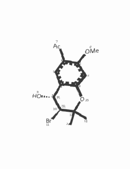 COc1cc2c(cc1C(C)=O)[C@@H](O)[C@H](Br)C(C)(C)O2